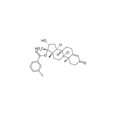 C[C@]12CCC(=O)C=C1CC[C@H]1[C@@H]3C[C@@H](O)[C@](OC(=O)c4cccc(I)c4)(C(=O)O)[C@@]3(C)CCC12Cl